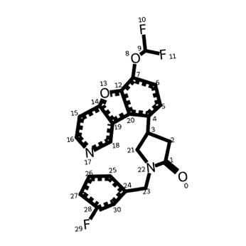 O=C1CC(c2ccc(OC(F)F)c3oc4ccncc4c23)CN1Cc1cccc(F)c1